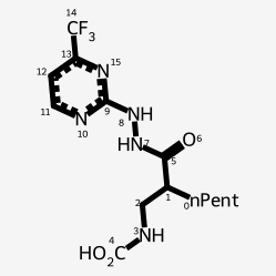 CCCCCC(CNC(=O)O)C(=O)NNc1nccc(C(F)(F)F)n1